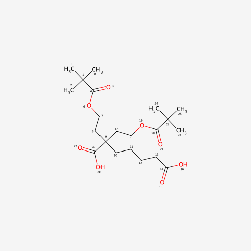 CC(C)(C)C(=O)OCCC(CCCCC(=O)O)(CCOC(=O)C(C)(C)C)C(=O)O